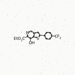 CCOC(=O)c1ncc2cc(-c3ccc(C(F)(F)F)cc3)sc2c1O